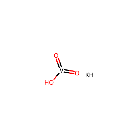 [KH].[O]=[V](=[O])[OH]